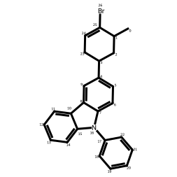 CC1CC(c2ccc3c(c2)c2ccccc2n3-c2ccccc2)CC=C1Br